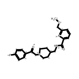 COCc1cccc(C(=O)NCC2CCN(CC(=O)c3ccc(F)cc3)CC2)n1